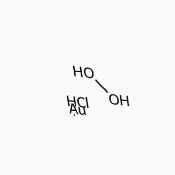 Cl.OO.[Au]